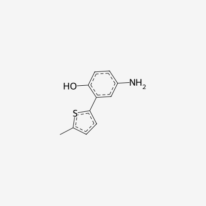 Cc1ccc(-c2cc(N)ccc2O)s1